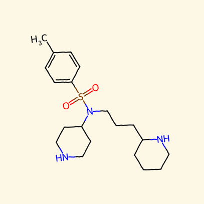 Cc1ccc(S(=O)(=O)N(CCCC2CCCCN2)C2CCNCC2)cc1